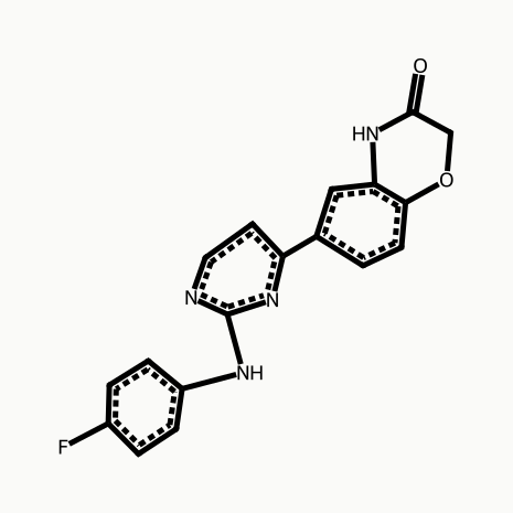 O=C1COc2ccc(-c3ccnc(Nc4ccc(F)cc4)n3)cc2N1